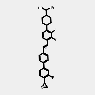 CCCC(O)C1CCC(c2ccc(/C=C/c3ccc(-c4ccc(C5CO5)c(F)c4)cc3)c(F)c2F)CC1